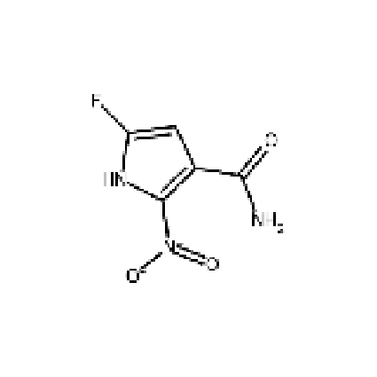 NC(=O)c1cc(F)[nH]c1[N+](=O)[O-]